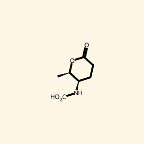 C[C@H]1OC(=O)CC[C@H]1NC(=O)O